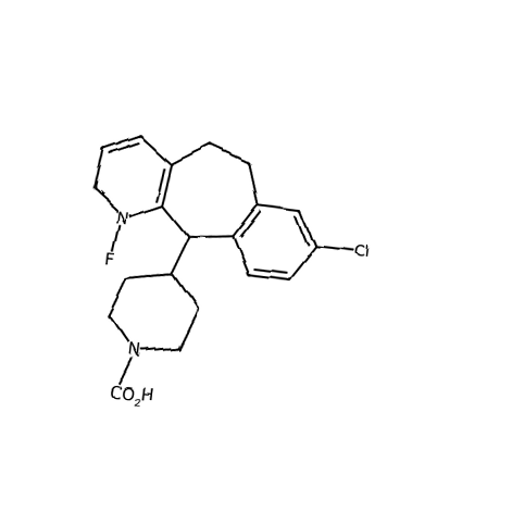 O=C(O)N1CCC(C2C3=C(C=CCN3F)CCc3cc(Cl)ccc32)CC1